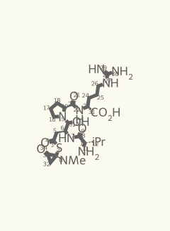 CN[C@]1(SC(=O)C[C@H](NC(=O)[C@@H](N)C(C)C)C(O)N2CCC[C@H]2C(=O)N[C@@H](CCCNC(=N)N)C(=O)O)CC1=O